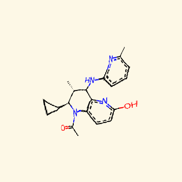 CC(=O)N1c2ccc(O)nc2C(Nc2cccc(C)n2)[C@@H](C)[C@@H]1C1CC1